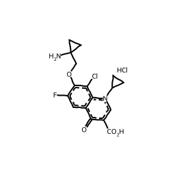 Cl.NC1(COc2c(F)cc3c(=O)c(C(=O)O)cn(C4CC4)c3c2Cl)CC1